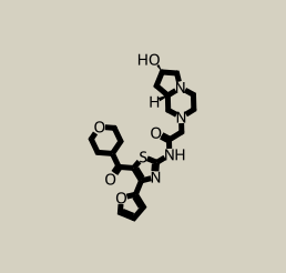 O=C(CN1CCN2C[C@@H](O)C[C@H]2C1)Nc1nc(-c2ccco2)c(C(=O)C2CCOCC2)s1